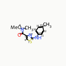 CON(C)C(=O)c1csc(Nc2ccc(C)cc2)n1